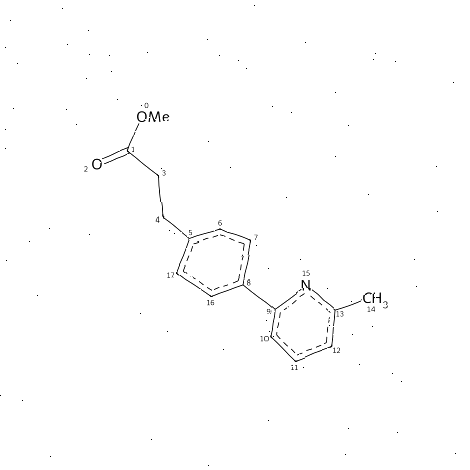 COC(=O)CCc1ccc(-c2cccc(C)n2)cc1